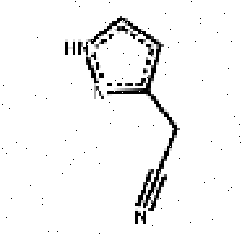 N#CCc1cc[nH]n1